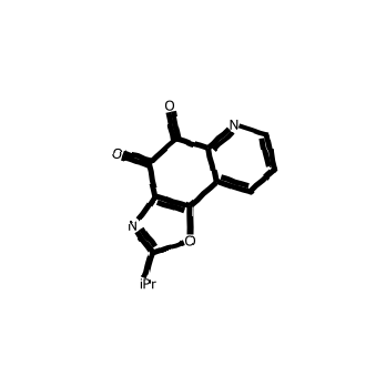 CC(C)c1nc2c(o1)-c1cccnc1C(=O)C2=O